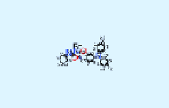 CCN1C(=O)/C(=C\c2ccc(N(c3ccc(C)cc3)c3ccc(C)cc3)cc2)OC1=NC1CCCCC1